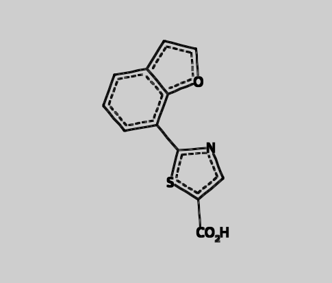 O=C(O)c1cnc(-c2cccc3ccoc23)s1